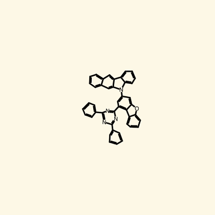 c1ccc(-c2nc(-c3ccccc3)nc(-c3cc(-n4c5ccccc5c5cc6ccccc6cc54)cc4oc5ccccc5c34)n2)cc1